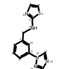 c1cc(CNc2nccs2)cc(-n2cncn2)c1